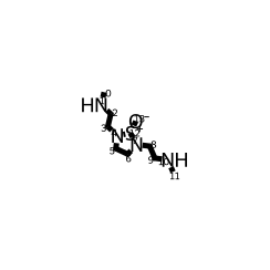 CNCCN1CCN(CCNC)[S+]1[O-]